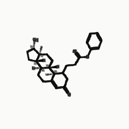 C[C@]12CC[C@H]3[C@@H](CCC4=CC(=O)CC(CCC(=O)Oc5ccccc5)[C@@]43C)[C@@H]1CC[C@@H]2O